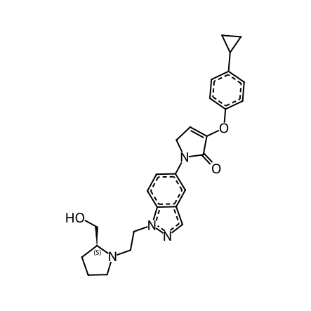 O=C1C(Oc2ccc(C3CC3)cc2)=CCN1c1ccc2c(cnn2CCN2CCC[C@H]2CO)c1